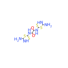 N=C(N)SC(=S)NC(=O)C(=O)NC(=S)SC(=N)N